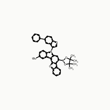 CC(C)(C)c1ccc2c(c1)c1c3oc4ccccc4c3c(B3OC(C)(C)C(C)(C)O3)cc1n2-c1csc2ccc(-c3ccccc3)cc12